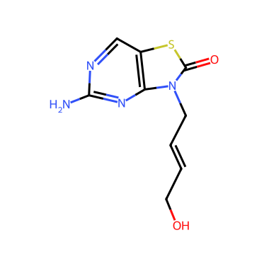 Nc1ncc2sc(=O)n(C/C=C/CO)c2n1